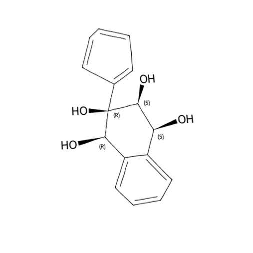 O[C@@H]1c2ccccc2[C@H](O)[C@H](O)[C@@]1(O)c1ccccc1